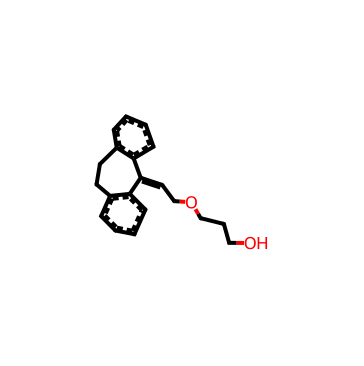 OCCCOCC=C1c2ccccc2CCc2ccccc21